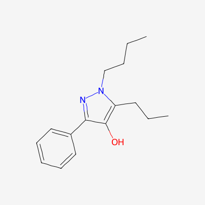 CCCCn1nc(-c2ccccc2)c(O)c1CCC